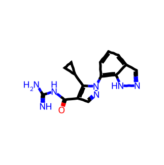 N=C(N)NC(=O)c1cnn(-c2cccc3cn[nH]c23)c1C1CC1